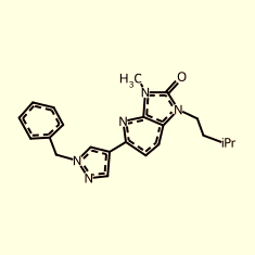 CC(C)CCn1c(=O)n(C)c2nc(-c3cnn(Cc4ccccc4)c3)ccc21